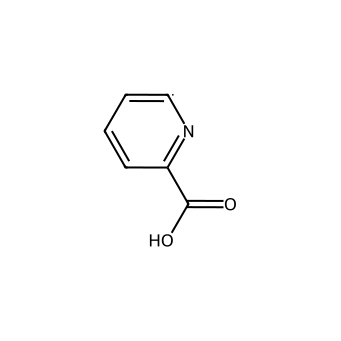 O=C(O)c1ccc[c]n1